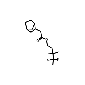 CC(F)(F)C(F)(F)CCOC(=O)CC1CC2CCC1C2